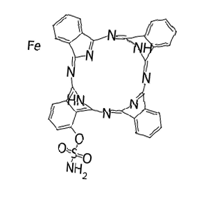 NS(=O)(=O)Oc1cccc2c3nc4nc(nc5[nH]c(nc6nc(nc([nH]3)c12)-c1ccccc1-6)c1ccccc51)-c1ccccc1-4.[Fe]